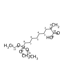 C=C(CCCCCCC[Si](OC)(OCC)OCC)C(=O)O